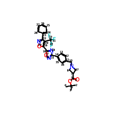 CC(C)(C)OC(=O)C1CN(Cc2ccc(-c3noc(-c4onc(-c5ccccc5)c4C(F)(F)F)n3)cc2)C1